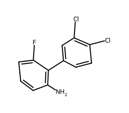 Nc1cccc(F)c1-c1ccc(Cl)c(Cl)c1